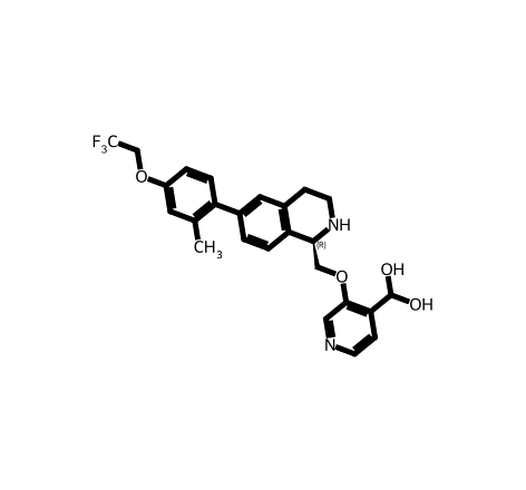 Cc1cc(OCC(F)(F)F)ccc1-c1ccc2c(c1)CCN[C@H]2COc1cnccc1C(O)O